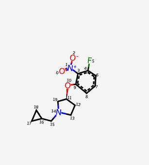 O=[N+]([O-])c1c(F)cccc1O[C@H]1CCN(CC2CC2)C1